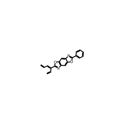 C=C/C=C(\C=C)c1nc2cc3oc(-c4ccccc4)nc3cc2o1